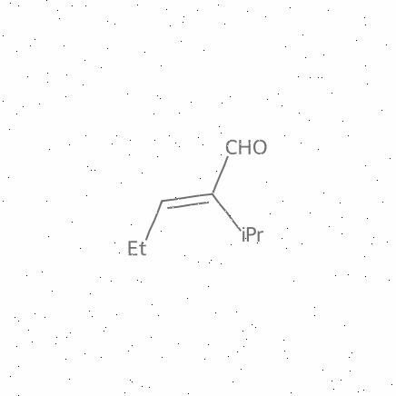 CC/C=C(/C=O)C(C)C